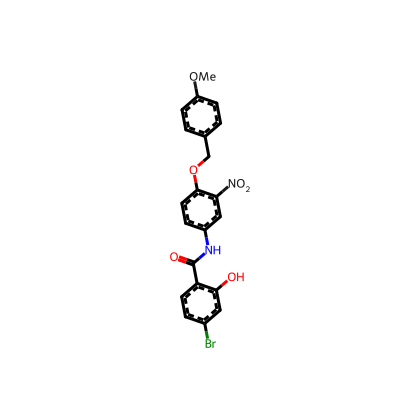 COc1ccc(COc2ccc(NC(=O)c3ccc(Br)cc3O)cc2[N+](=O)[O-])cc1